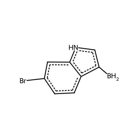 Bc1c[nH]c2cc(Br)ccc12